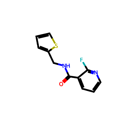 O=C(NCc1cccs1)c1cccnc1F